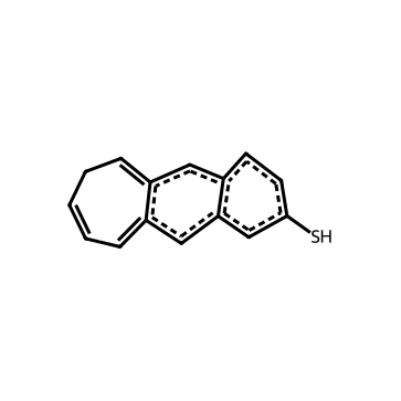 Sc1ccc2cc3c(cc2c1)=CC=CCC=3